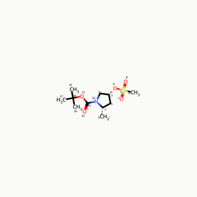 [CH2][C@H]1C[C@@H](OS(C)(=O)=O)CN1C(=O)OC(C)(C)C